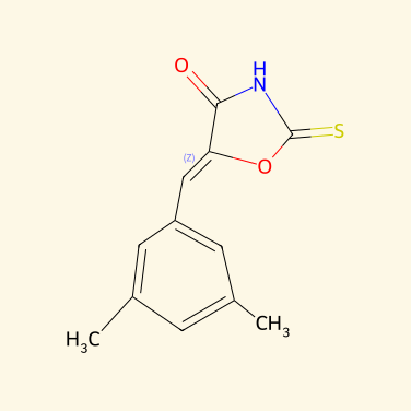 Cc1cc(C)cc(/C=C2\OC(=S)NC2=O)c1